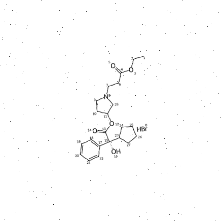 Br.CCOC(=O)CCN1CCC(OC(=O)[C@](O)(c2ccccc2)C2CCCC2)C1